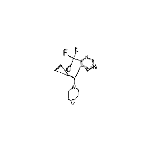 FC(F)(Cl)c1ncncc1C(C1CC1)N1CCOCC1